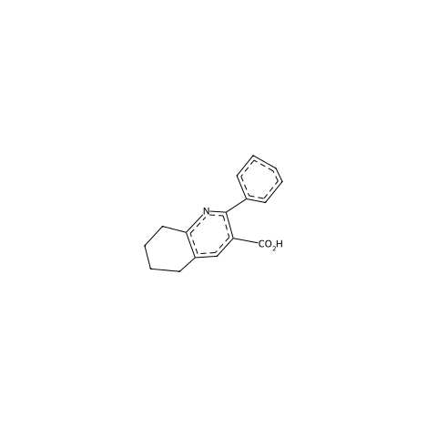 O=C(O)c1cc2c(nc1-c1ccccc1)CCCC2